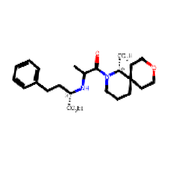 CCOC(=O)[C@H](CCc1ccccc1)NC(C)C(=O)N1CCCC2(CCOCC2)[C@H]1C(=O)O